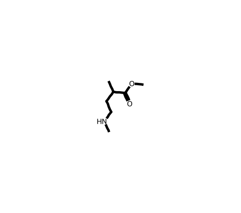 CNCCC(C)C(=O)OC